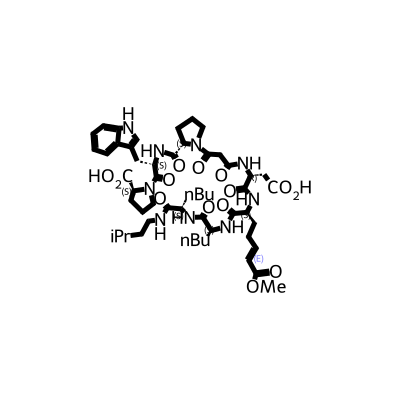 CCCC[C@H](NC(=O)[C@H](CCCC)NC(=O)[C@H](CC/C=C/C(=O)OC)NC(=O)[C@@H](CC(=O)O)NC(=O)CC(=O)N1CCC[C@H]1C(=O)N[C@@H](Cc1c[nH]c2ccccc12)C(=O)N1CCC[C@H]1C(=O)O)C(=O)NCCC(C)C